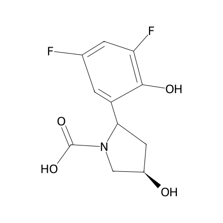 O=C(O)N1C[C@H](O)CC1c1cc(F)cc(F)c1O